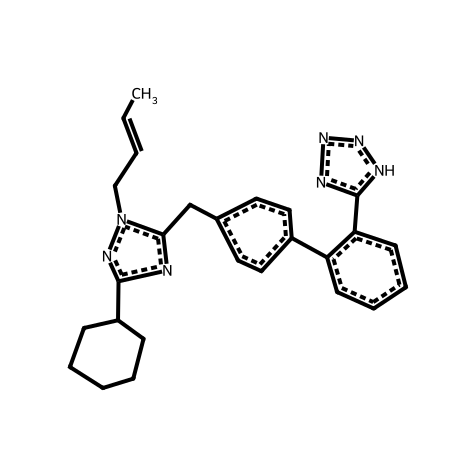 C/C=C/Cn1nc(C2CCCCC2)nc1Cc1ccc(-c2ccccc2-c2nnn[nH]2)cc1